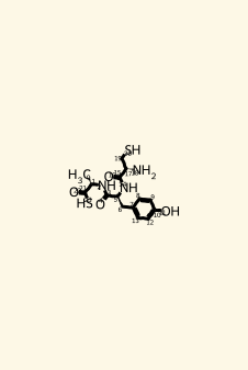 C[C@H](NC(=O)[C@H](Cc1ccc(O)cc1)NC(=O)[C@@H](N)CS)C(=O)S